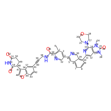 Cc1cc(-c2cc3cccc(-c4cc5c(c(N6CCOCC6)n4)n(C)c(=O)n5C)c3cn2)cnc1C(=O)NCC#Cc1ccc2occ(C3CCC(=O)NC3=O)c2c1